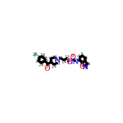 O=C(Nc1cccc2cnoc12)OCCCN1CCC(C(=O)c2ccc(F)cc2)CC1